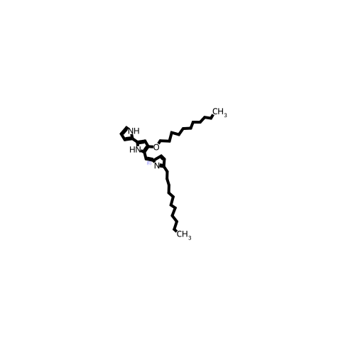 CCCCCCCCCCCOc1cc(-c2ccc[nH]2)[nH]c1/C=C1\C=CC(CCCCCCCCCCC)=N1